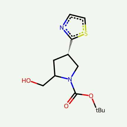 CC(C)(C)OC(=O)N1C[C@@H](c2nccs2)CC1CO